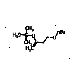 C=C(CCOCCCC)O[Si](C)(C)C